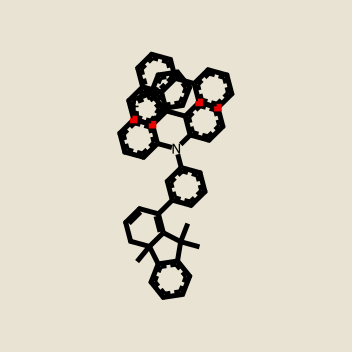 CC1(C)C2=C(c3cccc(N(c4ccccc4-c4cccc5cccc(-c6ccccc6)c45)c4cccc5sc6ccccc6c45)c3)C=CCC2(C)c2ccccc21